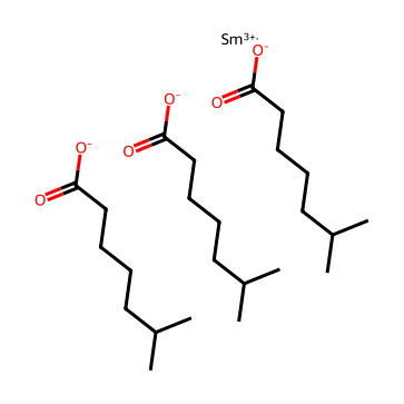 CC(C)CCCCC(=O)[O-].CC(C)CCCCC(=O)[O-].CC(C)CCCCC(=O)[O-].[Sm+3]